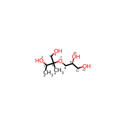 CC(O)C(C)(CO)OC[C@@H](O)CO